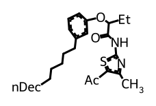 CCCCCCCCCCCCCCCc1cccc(OC(CC)C(=O)Nc2nc(C)c(C(C)=O)s2)c1